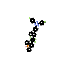 O=P(c1ccccc1)(c1ccccc1)c1cccc(-c2c(F)c(F)c(-c3ccc(-c4ccc(-c5nc(-c6ccc(F)cc6)nc(-c6ccc(F)cc6)n5)cc4)c4ccccc34)c(F)c2F)c1